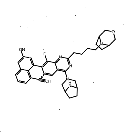 C#Cc1cccc2cc(O)cc(-c3c(F)cc4c(N5CC6CCC(C5)N6)nc(CCCCN5C6CCC5COC6)nc4c3F)c12